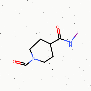 O=CN1CCC(C(=O)NI)CC1